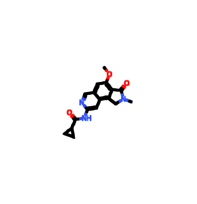 COc1cc2cnc(NC(=O)C3CC3)cc2c2c1C(=O)N(C)C2